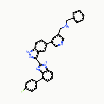 Fc1ccc(-c2cccc3[nH]c(-c4n[nH]c5ccc(-c6cncc(CNCc7ccccc7)c6)cc45)nc23)cc1